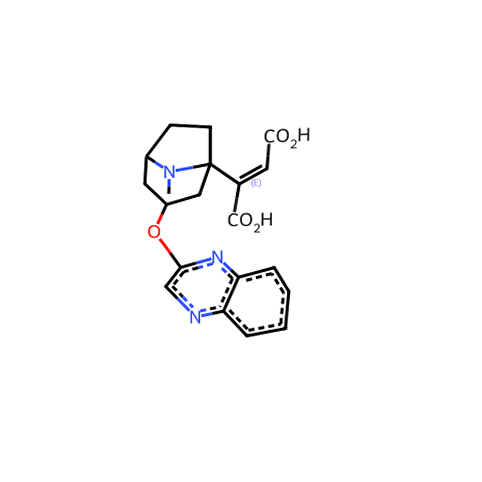 CN1C2CCC1(/C(=C\C(=O)O)C(=O)O)CC(Oc1cnc3ccccc3n1)C2